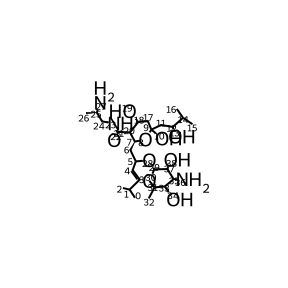 CC(C)/C=C/C(C[C@@H]1OC(O)(CC(O)C(C)C)C[C@H](O)C1C(=O)NC[C@@H](C)N)OC1OC(C)C(O)C(N)C1O